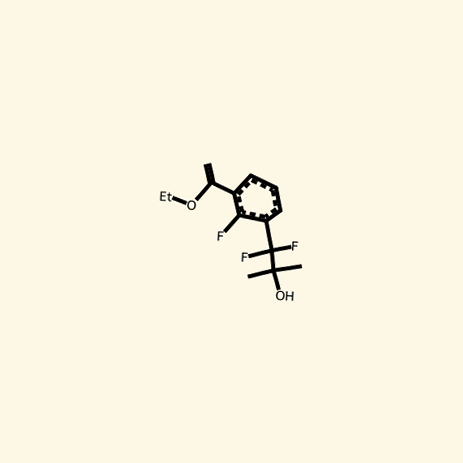 C=C(OCC)c1cccc(C(F)(F)C(C)(C)O)c1F